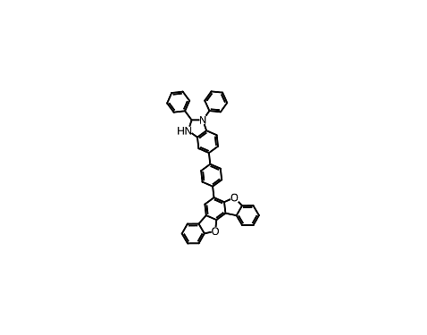 c1ccc(C2Nc3cc(-c4ccc(-c5cc6c7ccccc7oc6c6c5oc5ccccc56)cc4)ccc3N2c2ccccc2)cc1